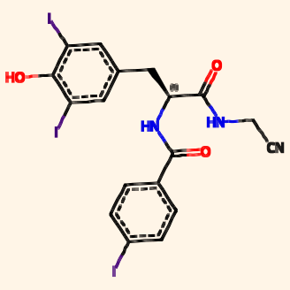 N#CCNC(=O)[C@H](Cc1cc(I)c(O)c(I)c1)NC(=O)c1ccc(I)cc1